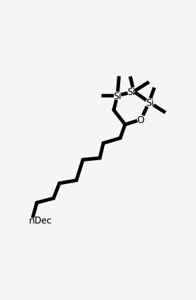 CCCCCCCCCCCCCCCCCCC1C[Si](C)(C)[Si](C)(C)[Si](C)(C)O1